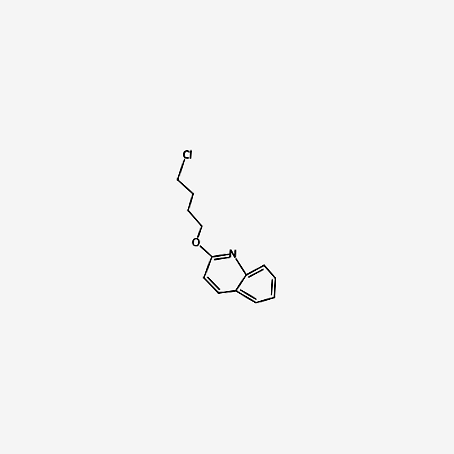 ClCCCCOc1ccc2ccccc2n1